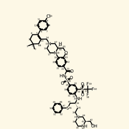 CC1(C)CCC(c2ccc(Cl)cc2)=C(CN2CCN3c4ccc(C(=O)NS(=O)(=O)c5ccc(N[C@H](CCN6CCN[C@H](CO)C6)CSc6ccccc6)c(S(=O)(=O)C(F)(F)F)c5)cc4OC[C@@H]3C2)C1